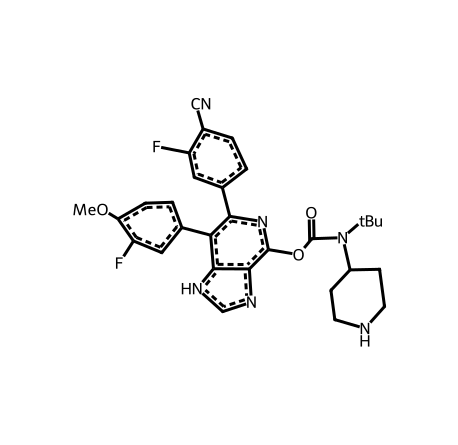 COc1ccc(-c2c(-c3ccc(C#N)c(F)c3)nc(OC(=O)N(C3CCNCC3)C(C)(C)C)c3nc[nH]c23)cc1F